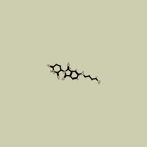 O=C1CCC(N2C(=O)c3ccc(OCCCCCl)cc3C2=O)C(=O)N1